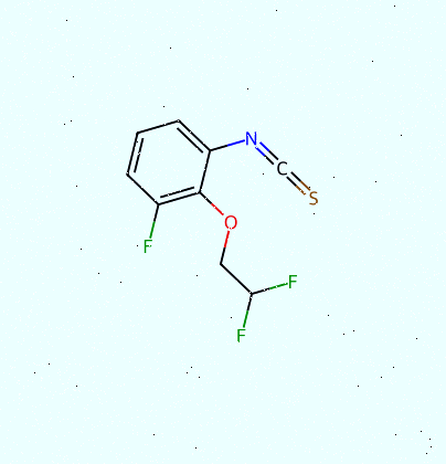 Fc1cccc(N=C=S)c1OCC(F)F